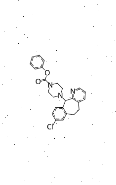 O=C(Oc1ccccc1)N1CCN(C2c3ccc(Cl)cc3CCc3cccnc32)CC1